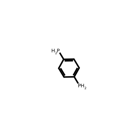 Pc1ccc(P)cc1